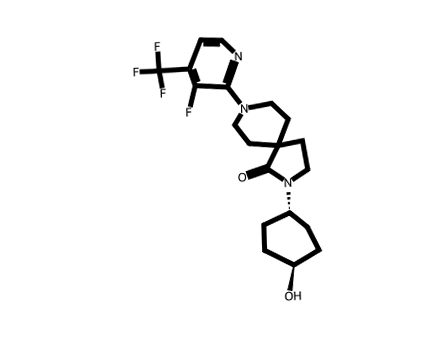 O=C1N([C@H]2CC[C@H](O)CC2)CCC12CCN(c1nccc(C(F)(F)F)c1F)CC2